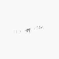 CCOC(=O)CN=C=C=CC=C=C=NC(=O)[C@@H](Cc1cc(C)c(O)c(C)c1)OO